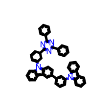 C1=CC(c2nc(-c3ccccc3)nc(-c3ccccc3)n2)CC(n2c3ccccc3c3cc(-c4cccc(-n5c6ccccc6c6ccccc65)c4)ccc32)=C1